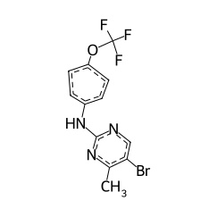 Cc1nc(Nc2ccc(OC(F)(F)F)cc2)ncc1Br